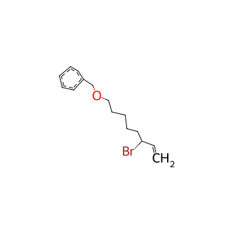 C=CC(Br)CCCCCOCc1ccccc1